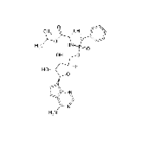 CC(C)OC(=O)[C@H](C)N[P@@](=O)(OC[C@@]1(F)O[C@@H](n2ccc3c(N)ncnc32)[C@H](O)[C@@H]1O)Oc1ccccc1